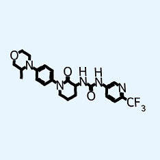 CC1COCCN1c1ccc(N2CCCC(NC(=O)Nc3ccc(C(F)(F)F)nc3)C2=O)cc1